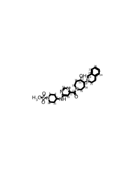 CS(=O)(=O)N1CCC(Nc2cc(C(=O)N3CC[C@H](O)[C@@H](N4CCc5ccccc5C4)CC3)ncn2)CC1